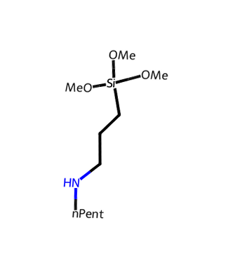 CCCCCNCCC[Si](OC)(OC)OC